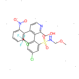 COCNS(=O)(=O)c1cc(Cl)cc(C(F)(F)F)c1-c1c(-c2c(Cl)cccc2[N+](=O)[O-])ccnc1CO